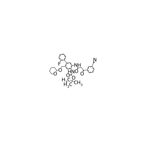 CC(C)(C)OC(=O)Nc1cc(COC2CCCCO2)c(-c2ccccc2F)cc1NC(=O)CC(=O)c1cccc(C#N)c1